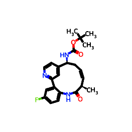 C[C@@H]1C=CC[C@H](NC(=O)OC(C)(C)C)c2ccnc(c2)-c2cc(F)ccc2NC1=O